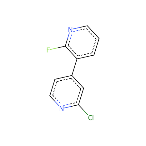 Fc1ncccc1-c1ccnc(Cl)c1